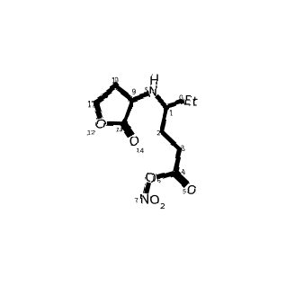 CCC(CCC(=O)O[N+](=O)[O-])NC1CCOC1=O